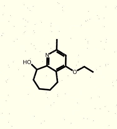 CCOc1cc(C)nc2c1CCCCC2O